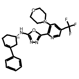 FC(F)(F)c1cnc(-c2nnc(N[C@H]3CCC=C(c4ccccc4)C3)o2)c(N2CCOCC2)c1